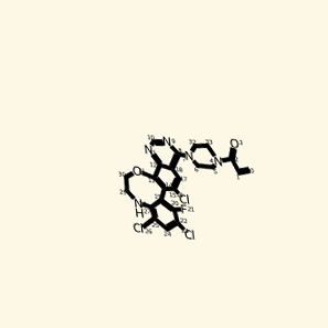 C=CC(=O)N1CCN(c2ncnc3c4c(c(Cl)cc23)-c2c(F)c(Cl)cc(Cl)c2NCCO4)CC1